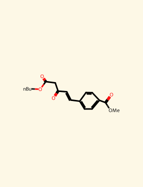 CCCCOC(=O)CC(=O)C=Cc1ccc(C(=O)OC)cc1